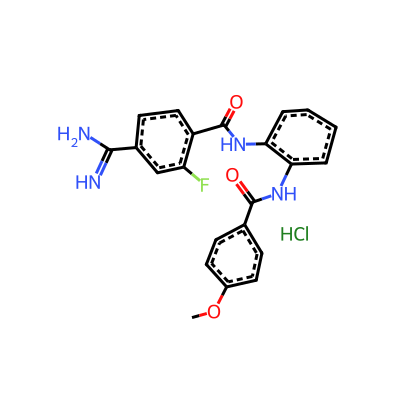 COc1ccc(C(=O)Nc2ccccc2NC(=O)c2ccc(C(=N)N)cc2F)cc1.Cl